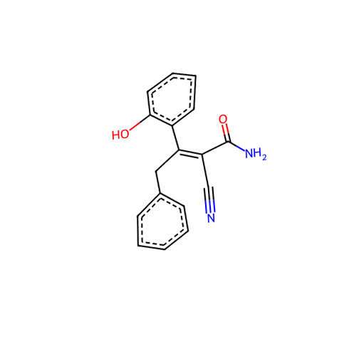 N#CC(C(N)=O)=C(Cc1ccccc1)c1ccccc1O